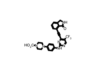 O=C1NCc2cccc(C#Cc3nc(Nc4ccc(N5CCN(C(=O)O)CC5)cc4)ncc3C(F)(F)F)c21